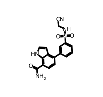 N#CCNS(=O)(=O)c1cccc(-c2ccc(C(N)=O)c3[nH]ccc23)c1